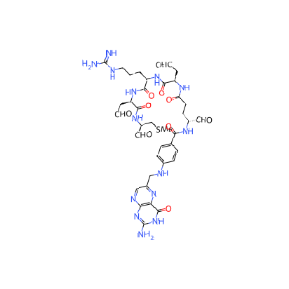 CSC[C@@H](C=O)NC(=O)[C@@H](CC=O)NC(=O)[C@@H](CCCNC(=N)N)NC(=O)[C@@H](CC=O)NC(=O)CC[C@H](C=O)NC(=O)c1ccc(NCc2cnc3nc(N)[nH]c(=O)c3n2)cc1